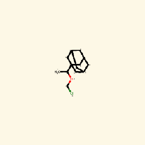 CC(OCCl)C12CC3CC(CC(C3)C1)C2